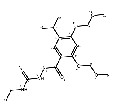 CCNC(=S)NNC(=O)c1cc(C(C)C)c(OCOC)cc1OCOC